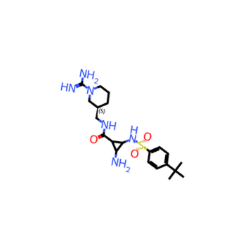 CC(C)(C)c1ccc(S(=O)(=O)NC2C(N)C2C(=O)NC[C@@H]2CCCN(C(=N)N)C2)cc1